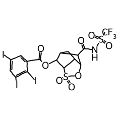 O=C(OC1C2CC3C(OS(=O)(=O)C31)C2C(=O)NS(=O)(=O)C(F)(F)F)c1cc(I)cc(I)c1I